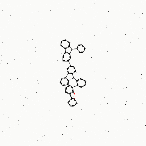 c1ccc(C2c3ccccc3-c3ccc(-c4ccc5c(c4)-c4ccccc4C5c4ccccc4-c4cccc5c4oc4ccccc45)cc32)cc1